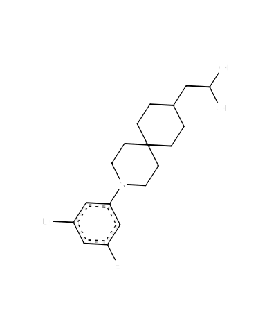 CCc1cc(CC)cc(N2CCC3(CCC(CC(O)O)CC3)CC2)c1